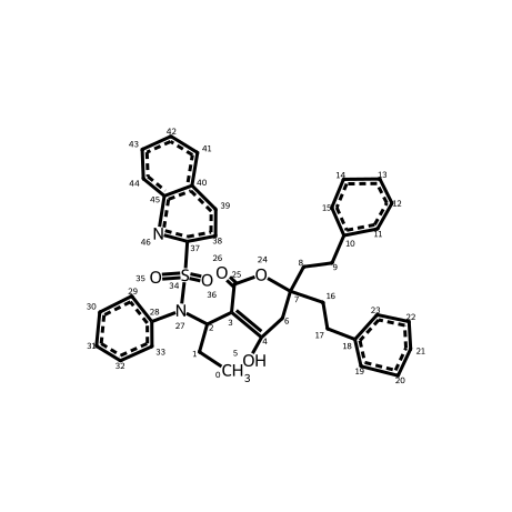 CCC(C1=C(O)CC(CCc2ccccc2)(CCc2ccccc2)OC1=O)N(c1ccccc1)S(=O)(=O)c1ccc2ccccc2n1